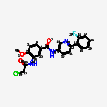 COc1ccc(C(=O)Nc2ccc(-c3ccccc3F)nc2)cc1NC(=O)CCl